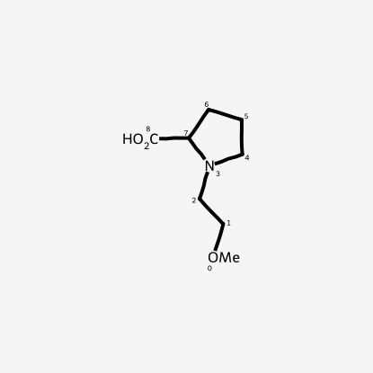 COCCN1CCCC1C(=O)O